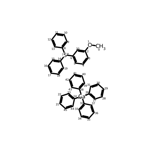 COc1cccc([S+](c2ccccc2)c2ccccc2)c1.c1cc[c]([Ga-]([c]2ccccc2)([c]2ccccc2)[c]2ccccc2)cc1